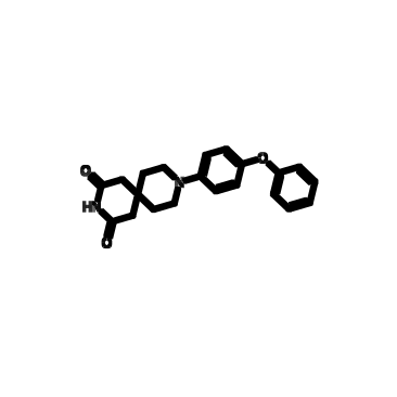 O=C1CC2(CCN(c3ccc(Oc4ccccc4)cc3)CC2)CC(=O)N1